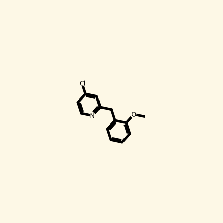 COc1ccccc1Cc1cc(Cl)ccn1